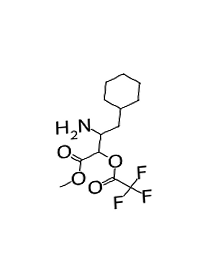 COC(=O)C(OC(=O)C(F)(F)F)C(N)CC1CCCCC1